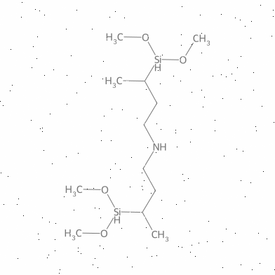 CO[SiH](OC)C(C)CCNCCC(C)[SiH](OC)OC